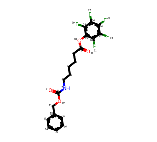 O=C(CCCCCNC(=O)OCc1ccccc1)Oc1c(F)c(F)c(F)c(F)c1F